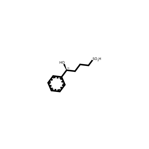 O=S(=O)(O)CCC[C@H](O)c1ccccc1